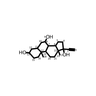 C#CC1(O)CCC2C3C(O)CC4CC(O)CCC4(C)C3CCC21C